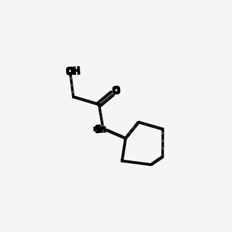 O=[C](CO)[Sn][CH]1CCCCC1